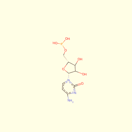 Nc1ccn([C@@H]2O[C@H](COP(O)O)C(O)C2O)c(=O)n1